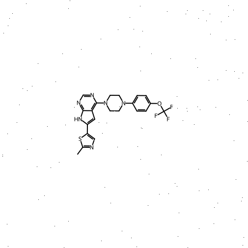 Cc1ncc(-c2cc3c(N4CCN(c5ccc(OC(F)(F)F)cc5)CC4)ncnc3[nH]2)s1